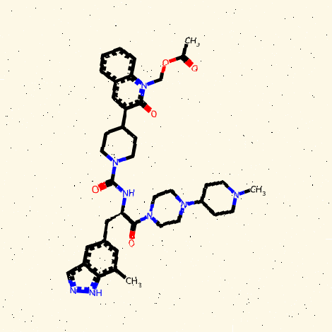 CC(=O)OCn1c(=O)c(C2CCN(C(=O)N[C@H](Cc3cc(C)c4[nH]ncc4c3)C(=O)N3CCN(C4CCN(C)CC4)CC3)CC2)cc2ccccc21